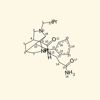 CC(C)CN1CC2CC3CNC2(C(=O)NCCC(N)=O)C1C3Cc1ccccc1